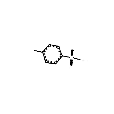 CCCCS(=O)(=O)c1ccc(C)cc1